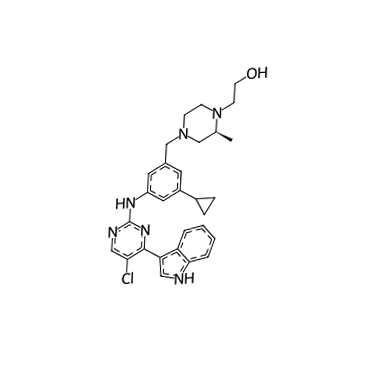 C[C@H]1CN(Cc2cc(Nc3ncc(Cl)c(-c4c[nH]c5ccccc45)n3)cc(C3CC3)c2)CCN1CCO